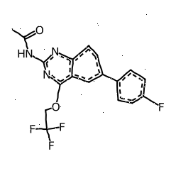 CC(=O)Nc1nc(OCC(F)(F)F)c2cc(-c3ccc(F)cc3)ccc2n1